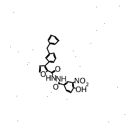 O=C(NNC(=O)c1occc1-c1cccc(Cc2ccccc2)c1)c1ccc(O)c([N+](=O)[O-])c1